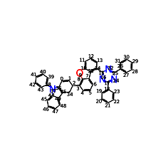 C1=CC(c2cccc3c2oc2cccc(-c4nc(-c5ccccc5)nc(-c5ccccc5)n4)c23)Cc2c1n(-c1ccccc1)c1ccccc21